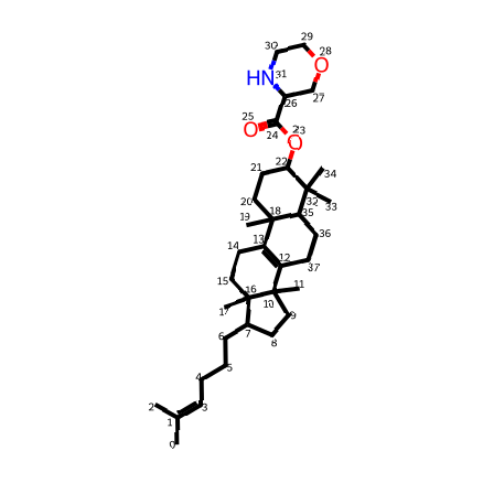 CC(C)=CCCCC1CCC2(C)C3=C(CCC12C)C1(C)CCC(OC(=O)C2COCCN2)C(C)(C)C1CC3